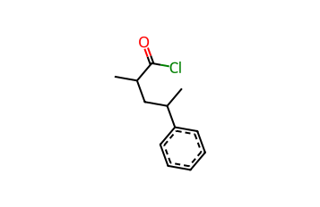 CC(CC(C)c1ccccc1)C(=O)Cl